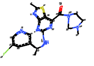 Cc1nc2nc(N[C@@H](C)c3cncc(F)c3)nc(C(=O)N3CCN(C)C3)c2s1